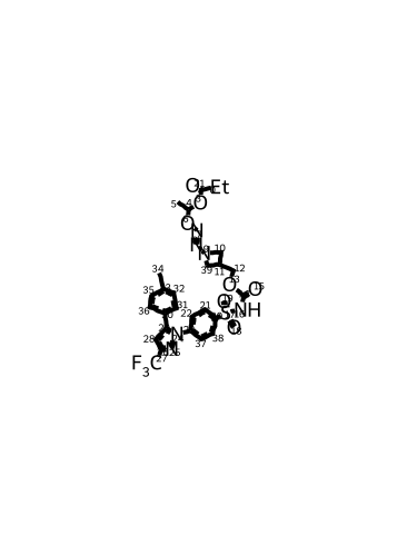 CCC(=O)OC(C)ON=NN1CC(COC(=O)NS(=O)(=O)c2ccc(-n3nc(C(F)(F)F)cc3-c3ccc(C)cc3)cc2)C1